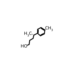 Cc1ccc([C@@H](C)CCCO)cc1